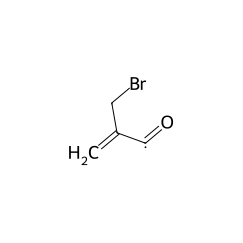 C=C([C]=O)CBr